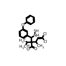 CC(C)C(C(=O)O)(C(C)C=C(Cl)Cl)C(NS)c1cccc(Oc2ccccc2)c1